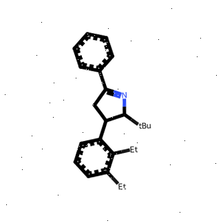 CCc1cccc(C2CC(c3ccccc3)=NC2C(C)(C)C)c1CC